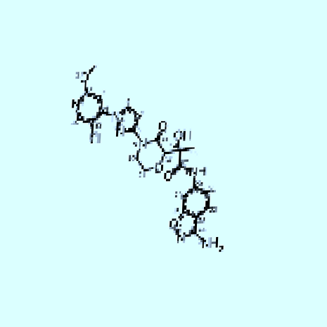 COc1cc(-n2ccc(N3CCOC(C(C)(O)C(=O)Nc4ccc5c(N)noc5c4)C3=O)n2)c(Cl)cn1